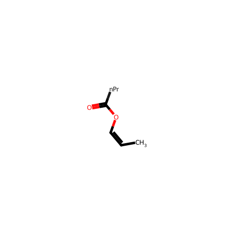 C/C=C\OC(=O)CCC